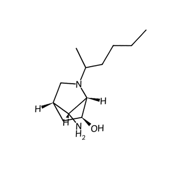 CCCCC(C)N1C[C@H]2C[C@H](O)[C@@H]1[C@@H]2N